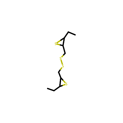 CCC1SC1CSSCC1SC1CC